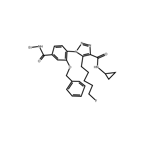 CCNC(=O)c1ccc(-n2nnc(C(=O)NC3CC3)c2CCCCCF)c(OCc2ccccc2)c1